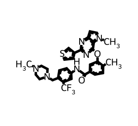 Cc1ccc(C(=O)Nc2ccc(CN3CCN(C)CC3)c(C(F)(F)F)c2)cc1Oc1nc(-c2ccsc2)nc2ccn(C)c12